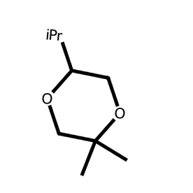 CC(C)C1COC(C)(C)CO1